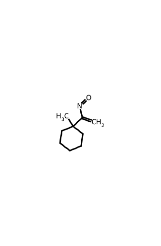 C=C(N=O)C1(C)CCCCC1